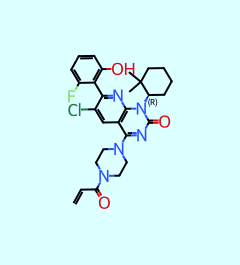 C=CC(=O)N1CCN(c2nc(=O)n([C@@H]3CCCCC3(C)C)c3nc(-c4c(O)cccc4F)c(Cl)cc23)CC1